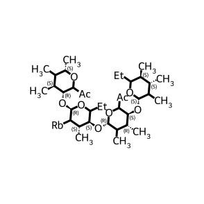 CCC1O[C@@H](O[C@@H]2C(C(C)=O)O[C@@H](O[C@@H]3C(CC)O[C@H](O[C@H]4C(C(C)=O)O[C@@H](C)C(C)[C@@H]4C)[CH]([Rb])[C@H]3C)C(C)[C@H]2C)C(C)[C@@H](C)[C@@H]1C